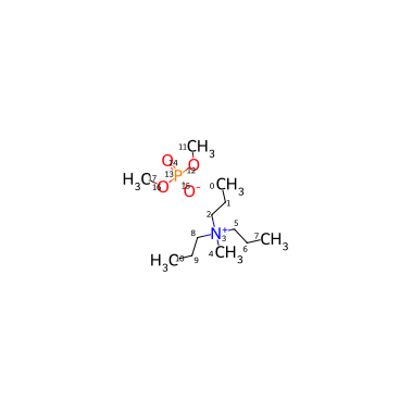 CCC[N+](C)(CCC)CCC.COP(=O)([O-])OC